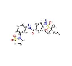 CC(C)(C)S(=O)(=O)Nc1ccc(C(=O)Nc2cccc(N3CCCS3(=O)=O)c2)cc1